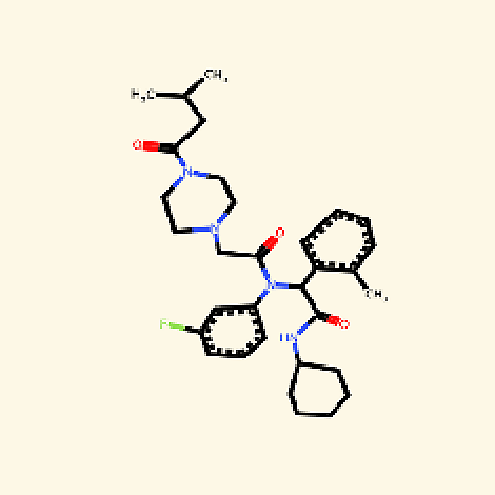 Cc1ccccc1C(C(=O)NC1CCCCC1)N(C(=O)CN1CCN(C(=O)CC(C)C)CC1)c1cccc(F)c1